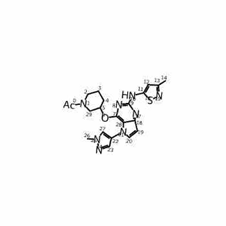 CC(=O)N1CCCC(Oc2nc(Nc3cc(C)ns3)nc3ccn(-c4cnn(C)c4)c23)C1